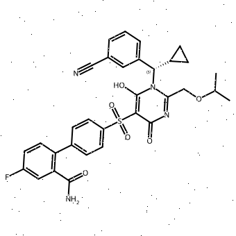 CC(C)OCc1nc(=O)c(S(=O)(=O)c2ccc(-c3ccc(F)cc3C(N)=O)cc2)c(O)n1[C@H](c1cccc(C#N)c1)C1CC1